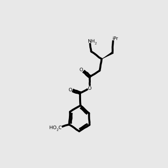 CC(C)C[C@H](CN)CC(=O)OC(=O)c1cccc(C(=O)O)c1